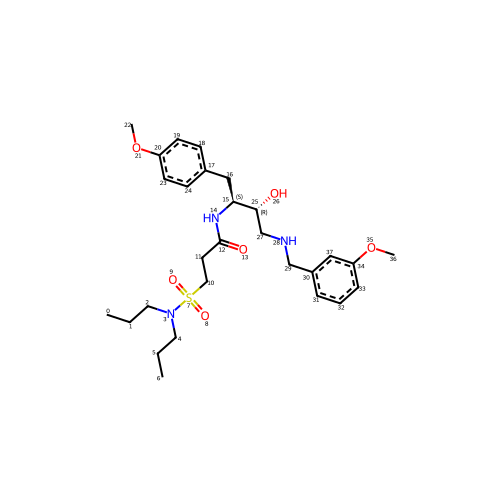 CCCN(CCC)S(=O)(=O)CCC(=O)N[C@@H](Cc1ccc(OC)cc1)[C@H](O)CNCc1cccc(OC)c1